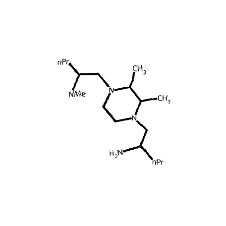 CCCC(N)CN1CCN(CC(CCC)NC)C(C)C1C